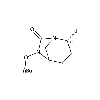 CCCCON1C(=O)N2CC1CC[C@H]2I